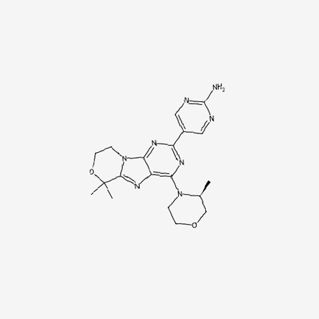 C[C@H]1COCCN1c1nc(-c2cnc(N)nc2)nc2c1nc1n2CCOC1(C)C